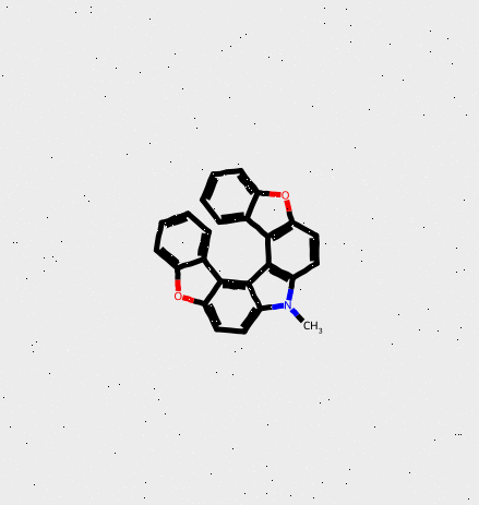 Cn1c2ccc3oc4ccccc4c3c2c2c3c(ccc21)oc1ccccc13